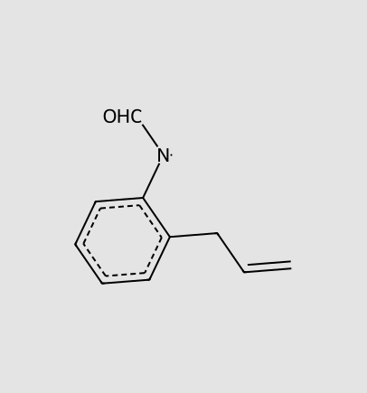 C=CCc1ccccc1[N]C=O